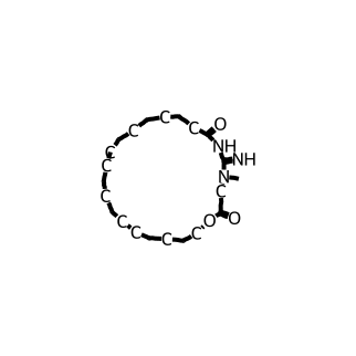 CN1CC(=O)OCCCCCCCCCCCCCCCCCC(=O)NC1=N